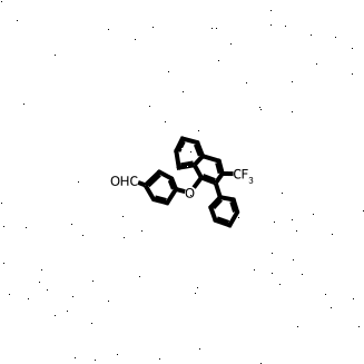 O=Cc1ccc(Oc2c(-c3ccccc3)c(C(F)(F)F)cc3ccccc23)cc1